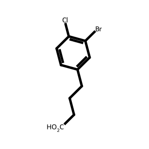 O=C(O)CCCc1ccc(Cl)c(Br)c1